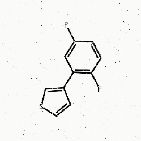 Fc1ccc(F)c(-c2c[c]sc2)c1